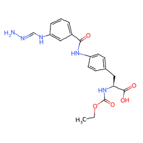 CCOC(=O)N[C@@H](Cc1ccc(NC(=O)c2cccc(NC=NN)c2)cc1)C(=O)O